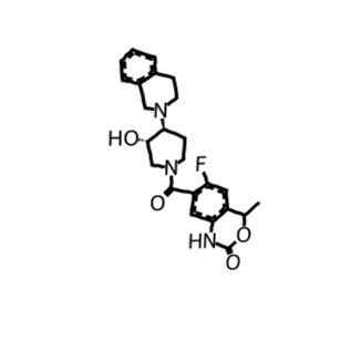 CC1OC(=O)Nc2cc(C(=O)N3CC[C@H](N4CCc5ccccc5C4)[C@@H](O)C3)c(F)cc21